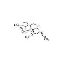 COCO[C@@H]1CC[C@]2(COC)C3CC[C@]4(C(C)=O)C(CC[C@@H]4CO)C3CC[C@H]2C1